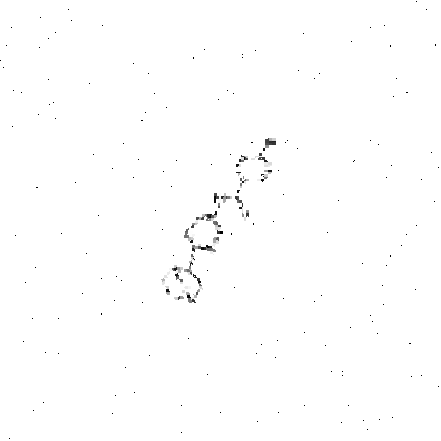 O=C(Nc1cnc(N2CCN3CCC2CC3)nc1)c1ccc(Br)cc1